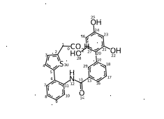 O=C(O)Cc1ccc(-c2ccccc2NC(=O)c2cccc(-c3c(O)cc(O)cc3O)c2)s1